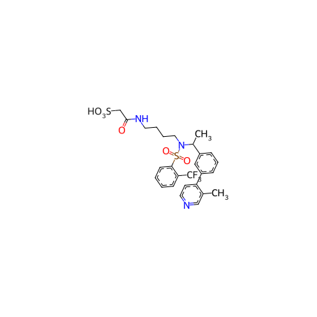 Cc1cnccc1-c1cccc(C(C)N(CCCCNC(=O)CS(=O)(=O)O)S(=O)(=O)c2ccccc2C(F)(F)F)c1